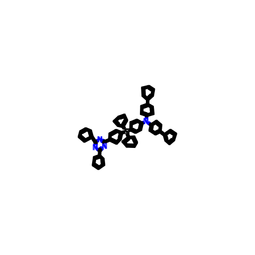 c1ccc(-c2ccc(N(c3ccc(-c4ccccc4)cc3)c3ccc([Si](c4ccccc4)(c4ccccc4)c4ccc(-c5nc(-c6ccccc6)nc(-c6ccccc6)n5)cc4)cc3)cc2)cc1